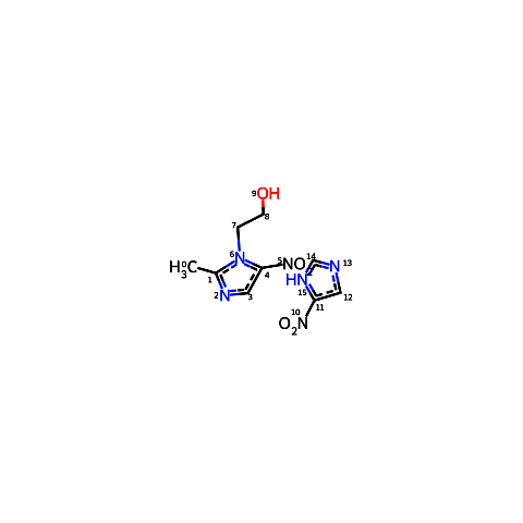 Cc1ncc([N+](=O)[O-])n1CCO.O=[N+]([O-])c1cnc[nH]1